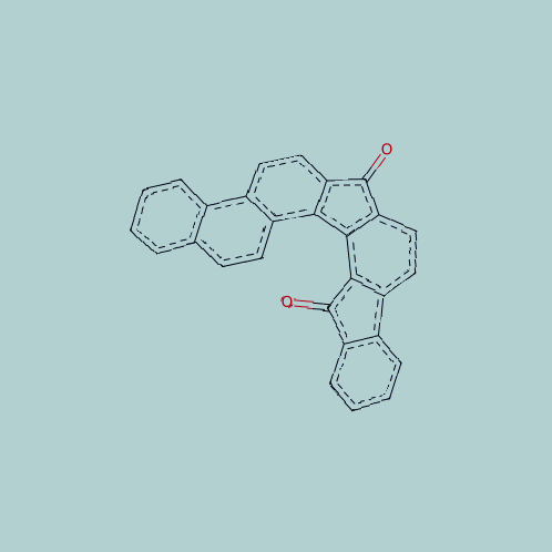 O=c1c2ccc3c4ccccc4ccc3c2c2c1ccc1c3ccccc3c(=O)c12